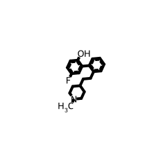 CN1CCC(CCc2ccccc2-c2cc(F)ccc2O)CC1